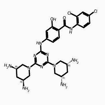 N[C@@H]1C[C@H](N)CN(c2nc(Nc3ccc(C(=O)Nc4ccc(Cl)cc4Cl)c(O)c3)nc(N3C[C@H](N)C[C@H](N)C3)n2)C1